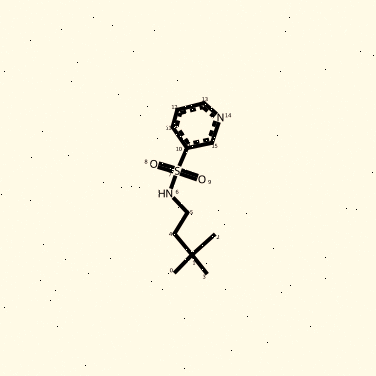 CC(C)(C)CCNS(=O)(=O)c1cccnc1